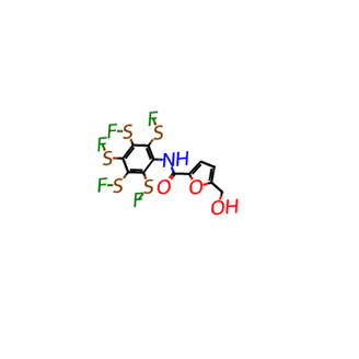 O=C(Nc1c(SF)c(SF)c(SF)c(SF)c1SF)c1ccc(CO)o1